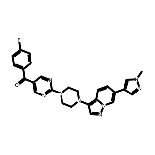 Cn1cc(-c2ccc3c(N4CCN(c5ncc(C(=O)c6ccc(F)cc6)cn5)CC4)cnn3c2)cn1